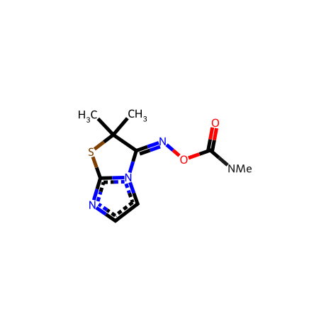 CNC(=O)ON=C1n2ccnc2SC1(C)C